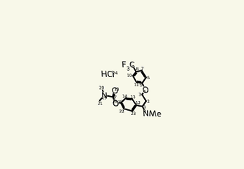 CNC(CCOc1ccc(C(F)(F)F)cc1)c1ccc(OC(=O)N(C)C)cc1.Cl